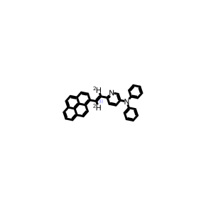 [2H]/C(=C(/[2H])c1ccc2ccc3cccc4ccc1c2c34)c1ccc(N(c2ccccc2)c2ccccc2)cn1